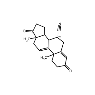 CC12CCC(=O)C=C1C[C@@H](C#N)C1C2=CCC2(C)C(=O)CCC12